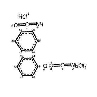 C.Cl.Cl.N=C=O.N=C=O.c1ccccc1.c1ccccc1